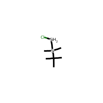 CC(C)(C)[Si](C)(C)[SiH2]Cl